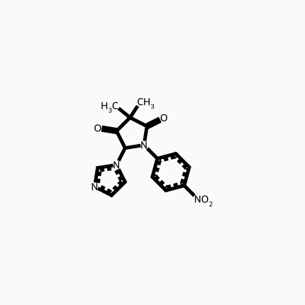 CC1(C)C(=O)C(n2ccnc2)N(c2ccc([N+](=O)[O-])cc2)C1=O